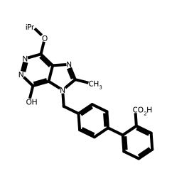 Cc1nc2c(OC(C)C)nnc(O)c2n1Cc1ccc(-c2ccccc2C(=O)O)cc1